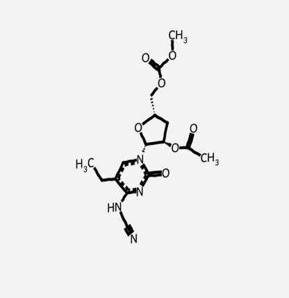 CCc1cn([C@@H]2O[C@H](COC(=O)OC)C[C@H]2OC(C)=O)c(=O)nc1NC#N